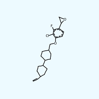 C=CC1CCC(C2CCC(COc3ccc(C4CO4)c(F)c3Cl)CC2)CC1